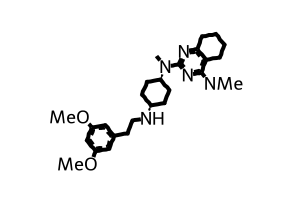 CNc1nc(N(C)[C@H]2CC[C@@H](NCCc3cc(OC)cc(OC)c3)CC2)nc2c1CCCC2